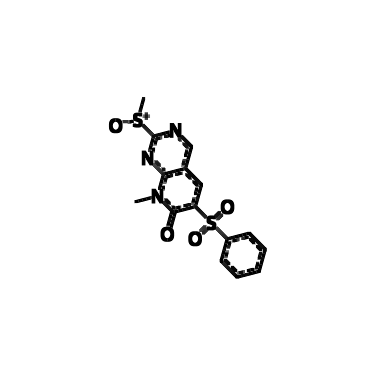 Cn1c(=O)c(S(=O)(=O)c2ccccc2)cc2cnc([S+](C)[O-])nc21